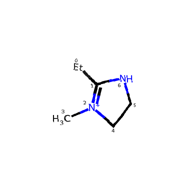 CCC1=[N+](C)CCN1